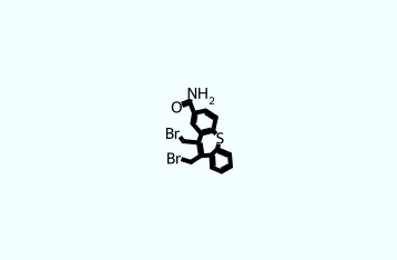 NC(=O)c1ccc2c(c1)C(CBr)=C(CBr)c1ccccc1S2